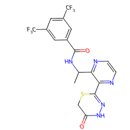 CC(NC(=O)c1cc(C(F)(F)F)cc(C(F)(F)F)c1)c1nccnc1C1=NNC(=O)CS1